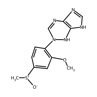 COc1cc([S+](C)[O-])ccc1N1C=Nc2nc[nH]c2N1